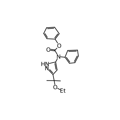 CCOC(C)(C)c1cc(N(C(=O)Oc2ccccc2)c2ccccc2)[nH]n1